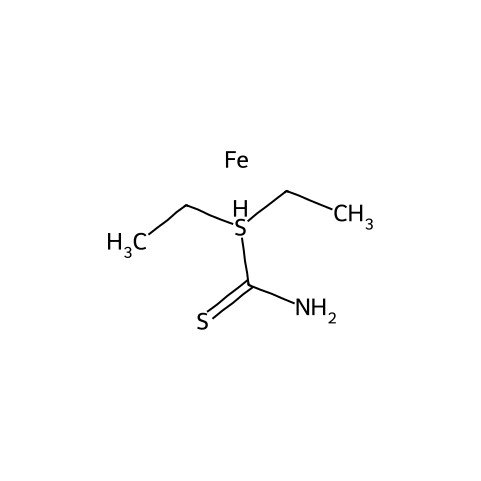 CC[SH](CC)C(N)=S.[Fe]